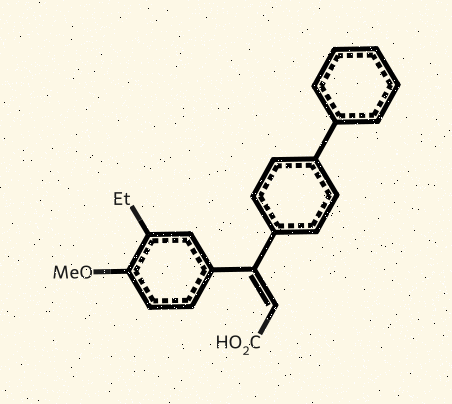 CCc1cc(/C(=C\C(=O)O)c2ccc(-c3ccccc3)cc2)ccc1OC